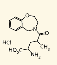 CC(CC(N)C(=O)O)C(=O)N1CCOc2ccccc2C1.Cl